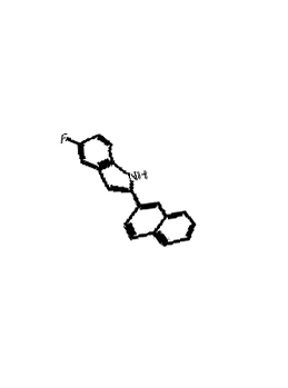 Fc1ccc2[nH]c(-c3ccc4ccccc4c3)cc2c1